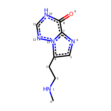 CNCCc1cnc2c(=O)[nH]cnn12